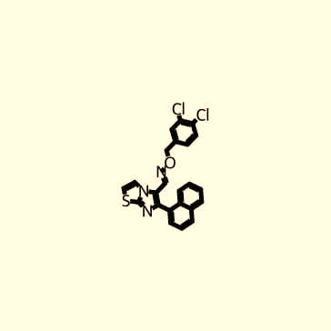 Clc1ccc(CO/N=C/c2c(-c3cccc4ccccc34)nc3sccn23)cc1Cl